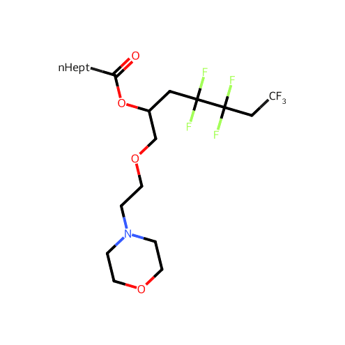 CCCCCCCC(=O)OC(COCCN1CCOCC1)CC(F)(F)C(F)(F)CC(F)(F)F